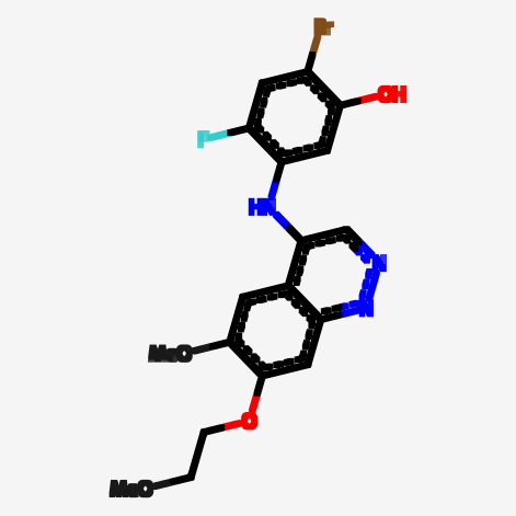 COCCOc1cc2nncc(Nc3cc(O)c(Br)cc3F)c2cc1OC